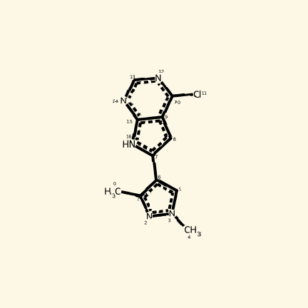 Cc1nn(C)cc1-c1cc2c(Cl)ncnc2[nH]1